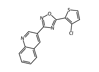 Clc1ccsc1-c1nc(-c2cnc3ccccc3c2)no1